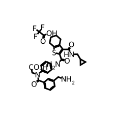 NC(=O)c1sc2c(c1C(=O)NCC1CC1)CCCC2.NCc1cccc(C(=O)N(CC(=O)O)c2ccccc2)c1.O=C(O)C(F)(F)F